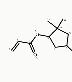 C=CC(=O)OC1CC(C)CC1(C)C